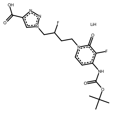 CC(C)(C)OC(=O)Nc1ccn(CCC(F)Cn2cc(C(=O)O)nn2)c(=O)c1F.[LiH]